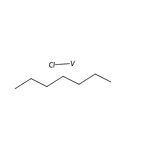 CCCCCCC.[Cl][V]